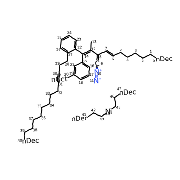 CCCCCCCCCCCCCCCC=CC(=C=[N+]=[N-])C(C)=C(c1cccc(CCCCCCCC)c1)c1ccccc1CCC#CCCCCCCCCCCCCCCCCCC.CCCCCCCCCCC[CH2][Ni][CH2]CCCCCCCCCCC